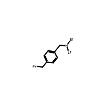 CCN(CC)Cc1ccc(CC(C)C)cc1